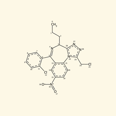 CCCC1N=C(c2ccccc2Cl)c2cc([N+](=O)[O-])ccc2-n2c(CCl)nnc21